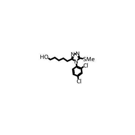 CSc1nnc(CCCCCO)n1-c1ccc(Cl)cc1Cl